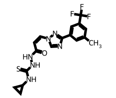 Cc1cc(-c2ncn(/C=C\C(=O)NNC(=S)NC3CC3)n2)cc(C(F)(F)F)c1